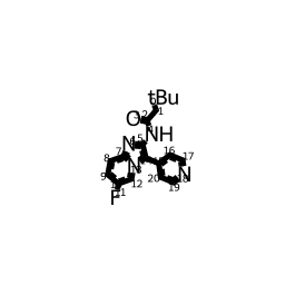 CC(C)(C)CC(=O)Nc1nc2ccc(F)cn2c1-c1ccncc1